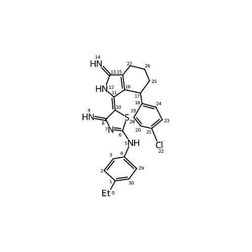 CCc1ccc(NC2=NC(=N)C(=C3NC(=N)C4=C3C(c3ccc(Cl)cc3)CCC4)S2)cc1